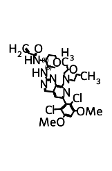 C=CC(=O)N[C@H]1CCOC[C@H]1Nc1ncc2cc(-c3c(Cl)c(OC)cc(OC)c3Cl)nc(N3CC(C)OC(C)C3)c2n1